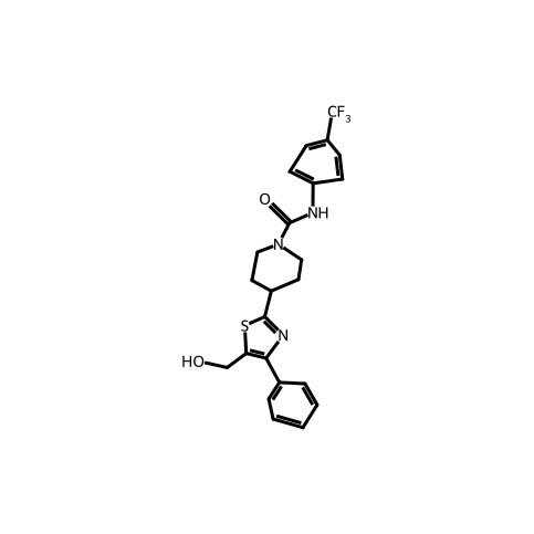 O=C(Nc1ccc(C(F)(F)F)cc1)N1CCC(c2nc(-c3ccccc3)c(CO)s2)CC1